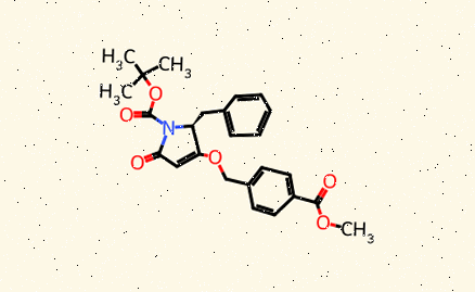 COC(=O)c1ccc(COC2=CC(=O)N(C(=O)OC(C)(C)C)[C@H]2Cc2ccccc2)cc1